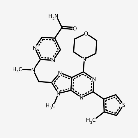 Cc1cscc1-c1nc(N2CCOCC2)c2nc(CN(C)c3ncc(C(N)=O)cn3)n(C)c2n1